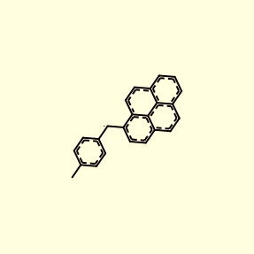 Cc1ccc([CH]c2ccc3ccc4cccc5ccc2c3c45)cc1